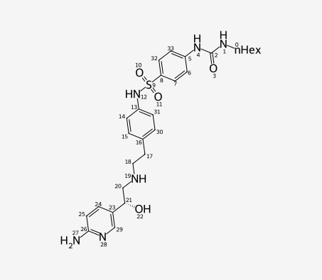 CCCCCCNC(=O)Nc1ccc(S(=O)(=O)Nc2ccc(CCNC[C@H](O)c3ccc(N)nc3)cc2)cc1